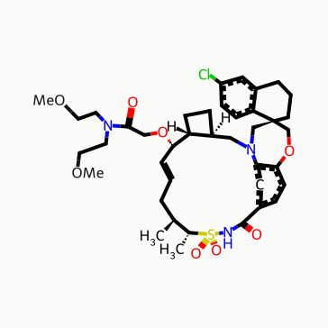 COCCN(CCOC)C(=O)CO[C@H]1/C=C/C[C@H](C)[C@@H](C)S(=O)(=O)NC(=O)c2ccc3c(c2)N(C[C@@H]2CC[C@H]21)C[C@@]1(CCCc2cc(Cl)ccc21)CO3